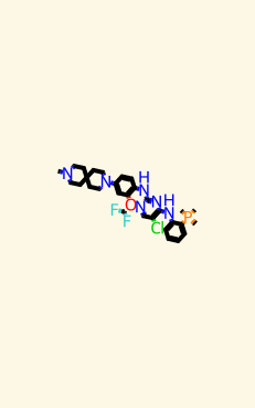 C=P(C)(C)c1ccccc1Nc1nc(Nc2ccc(N3CCC4(CCN(C)CC4)CC3)cc2OC(F)F)ncc1Cl